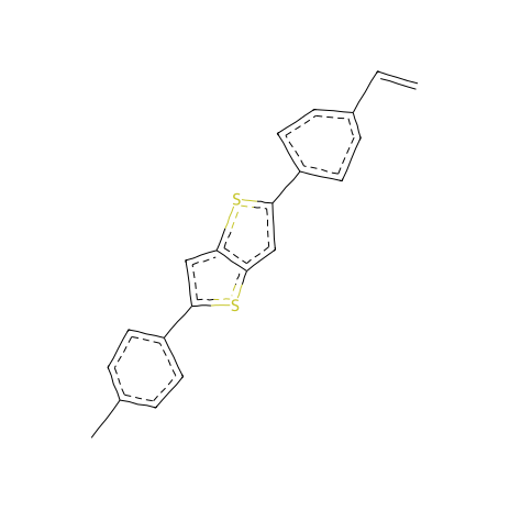 C=Cc1ccc(-c2cc3sc(-c4ccc(C)cc4)cc3s2)cc1